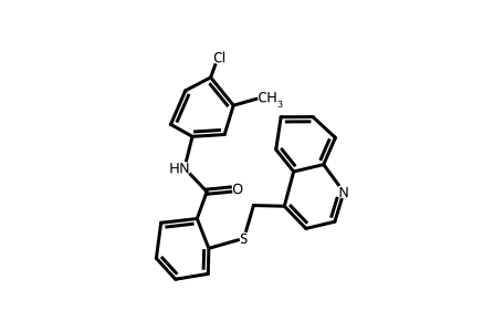 Cc1cc(NC(=O)c2ccccc2SCc2ccnc3ccccc23)ccc1Cl